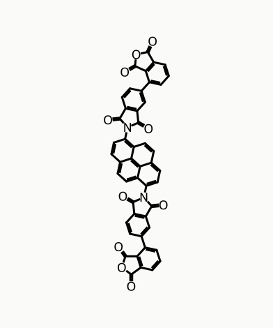 O=C1OC(=O)c2c1cccc2-c1ccc2c(c1)C(=O)N(c1ccc3ccc4c(N5C(=O)c6ccc(-c7cccc8c7C(=O)OC8=O)cc6C5=O)ccc5ccc1c3c54)C2=O